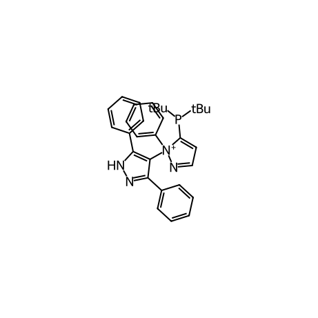 CC(C)(C)P(C1=CC=N[N+]1(c1ccccc1)c1c(-c2ccccc2)n[nH]c1-c1ccccc1)C(C)(C)C